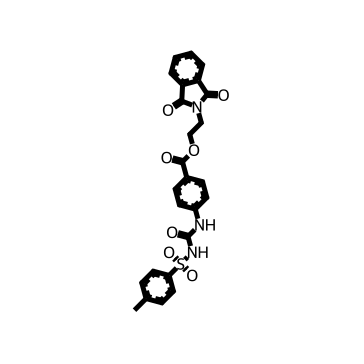 Cc1ccc(S(=O)(=O)NC(=O)Nc2ccc(C(=O)OCCN3C(=O)c4ccccc4C3=O)cc2)cc1